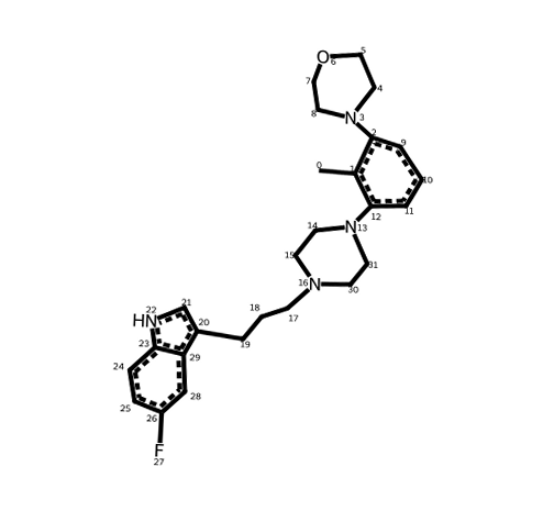 Cc1c(N2CCOCC2)cccc1N1CCN(CCCc2c[nH]c3ccc(F)cc23)CC1